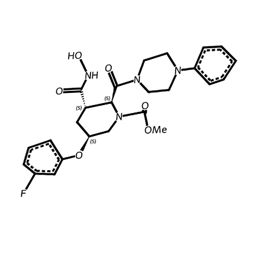 COC(=O)N1C[C@@H](Oc2cccc(F)c2)C[C@H](C(=O)NO)[C@H]1C(=O)N1CCN(c2ccccc2)CC1